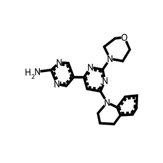 Nc1ncc(-c2cc(N3CCCc4ccccc43)nc(N3CCOCC3)n2)cn1